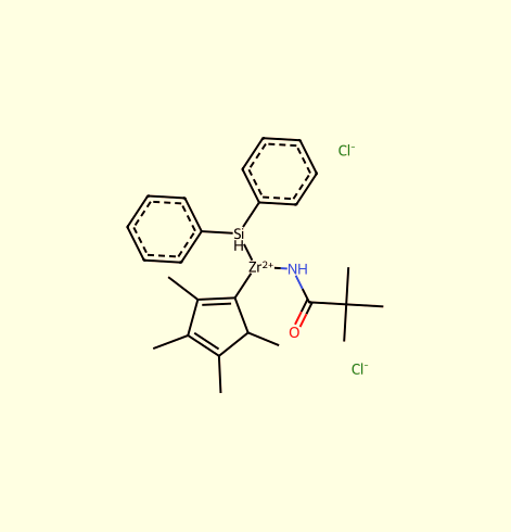 CC1=C(C)C(C)[C]([Zr+2]([NH]C(=O)C(C)(C)C)[SiH](c2ccccc2)c2ccccc2)=C1C.[Cl-].[Cl-]